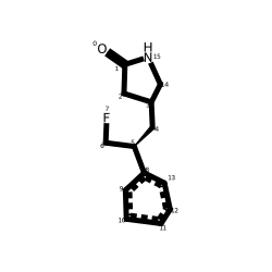 O=C1CC(C[C@H](CF)c2ccccc2)CN1